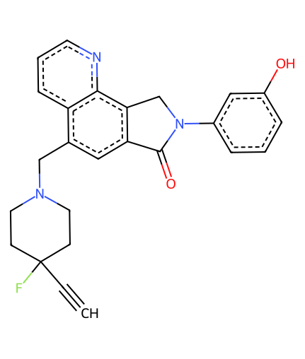 C#CC1(F)CCN(Cc2cc3c(c4ncccc24)CN(c2cccc(O)c2)C3=O)CC1